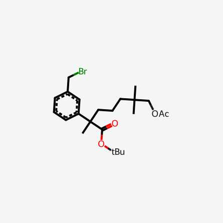 CC(=O)OCC(C)(C)CCCC(C)(C(=O)OC(C)(C)C)c1cccc(CBr)c1